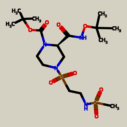 CC(C)(C)ONC(=O)[C@H]1CN(S(=O)(=O)CCNS(C)(=O)=O)CCN1C(=O)OC(C)(C)C